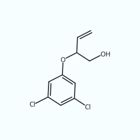 C=CC(CO)Oc1cc(Cl)cc(Cl)c1